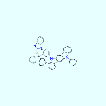 c1ccc(-n2c3ccccc3c3cc4c(cc32)c2ccccc2n4-c2ccc3c(c2)C(c2ccccc2)(c2ccccc2)Sc2nc4ccccc4n2-3)cc1